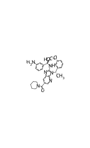 COc1cccc([C@H](C)n2c(NC(=O)c3cccc(N)c3)nc3cc(C(=O)N4CCCCC4)cnc32)c1